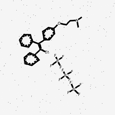 CCC(=C(c1ccccc1)c1ccc(OCCN(C)C)cc1)c1ccccc1.F[B-](F)(F)F.F[B-](F)(F)F.F[B-](F)(F)F